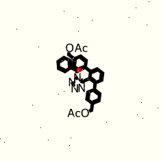 CC(=O)OCc1ccc(-c2cccc(-c3ccc(COC(C)=O)cc3)c2-c2nnnn2Cc2ccccc2)cc1